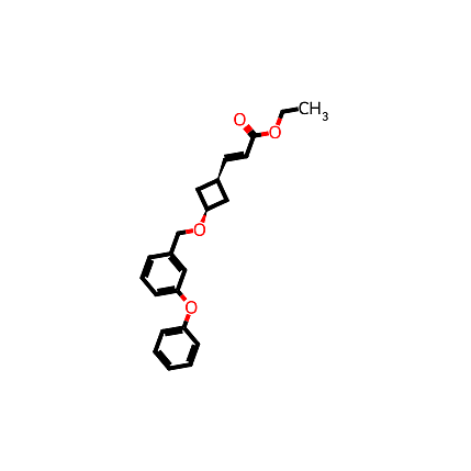 CCOC(=O)/C=C/[C@H]1C[C@@H](OCc2cccc(Oc3ccccc3)c2)C1